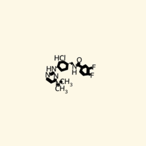 CN(C)c1ccnc(N[C@H]2CC[C@@H](CNC(=O)c3ccc(F)c(F)c3)CC2)n1.Cl